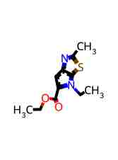 CCOC(=O)c1cc2nc(C)sc2n1CC